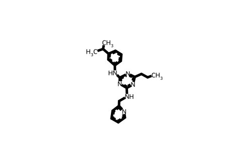 CCCc1nc(NCc2ccccn2)nc(Nc2cccc(C(C)C)c2)n1